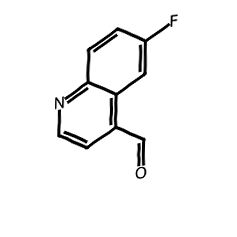 O=Cc1ccnc2ccc(F)cc12